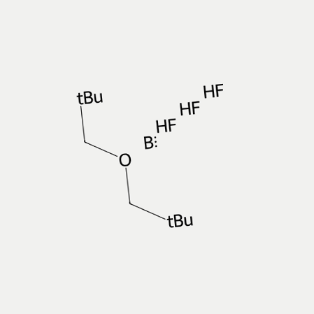 CC(C)(C)COCC(C)(C)C.F.F.F.[B]